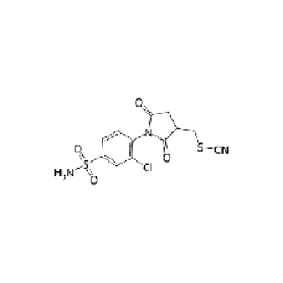 N#CSCC1CC(=O)N(c2ccc(S(N)(=O)=O)cc2Cl)C1=O